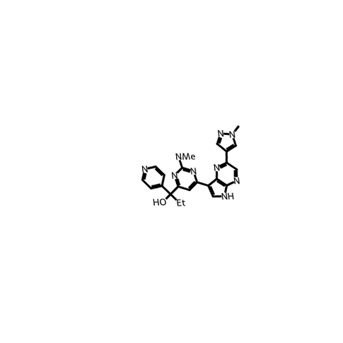 CCC(O)(c1ccncc1)c1cc(-c2c[nH]c3ncc(-c4cnn(C)c4)nc23)nc(NC)n1